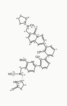 COc1nc(-c2cccc(-c3cccc(-c4ccn5c(=O)c(CN(C)[C@@H]6CCCO6)cnc5c4)c3Cl)c2Cl)ccc1CN(C[C@@H]1CCC(=O)N1)C(=O)O